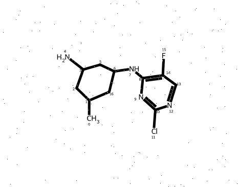 CC1CC(N)CC(Nc2nc(Cl)ncc2F)C1